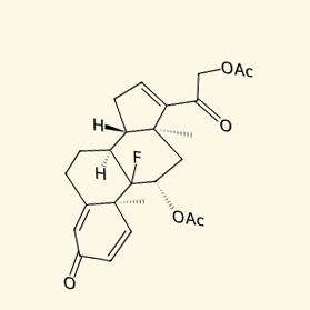 CC(=O)OCC(=O)C1=CC[C@H]2[C@@H]3CCC4=CC(=O)C=C[C@]4(C)C3(F)[C@@H](OC(C)=O)C[C@]12C